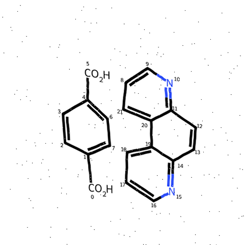 O=C(O)c1ccc(C(=O)O)cc1.c1cnc2ccc3ncccc3c2c1